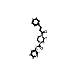 O=C(C=Cc1ccccc1)N1CCN(C(=O)Oc2cccnc2)CC1